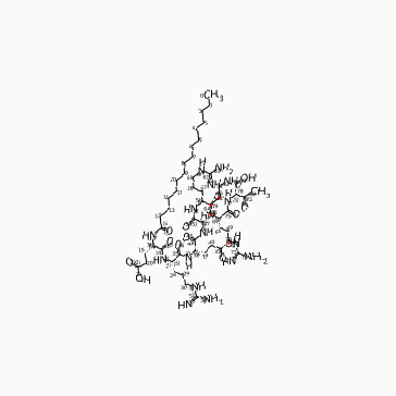 CCCCCCCCCCCCCCCC(=O)N[C@@H](CCC(=O)O)C(=O)N[C@@H](CCCNC(=N)N)C(=O)N[C@@H](CCC(=O)O)C(=O)N[C@@H](CCCCN)C(=O)N[C@@H](CCCNC(=N)N)C(=O)N[C@@H](CCCNC(=N)N)C(=O)N[C@@H](CO)C(C)=O